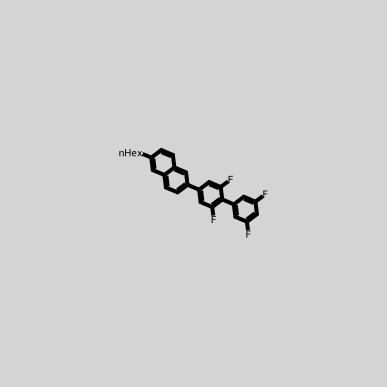 CCCCCCc1ccc2cc(-c3cc(F)c(-c4cc(F)cc(F)c4)c(F)c3)ccc2c1